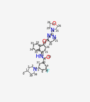 CC1CCN(c2cc(F)cc(C(=O)Nc3ccc(Oc4ccnc(N5CCOCC5)n4)c4ccccc34)c2)CC1